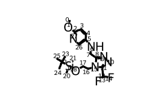 COc1ccc(NCc2nnc(C(F)F)n2CCO[Si](C)(C)C(C)(C)C)cn1